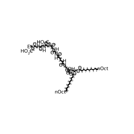 CCCCCCCC/C=C/CCCCCCCC(=O)OCC(COP(=O)(O)OCCNC(=O)CCCCC(=O)NCC(=O)NCC(=O)N(CC(=O)O)CC(=O)NCC(=O)NCC(=O)N(CC)CC(=O)O)OC(=O)CCCCCCC/C=C/CCCCCCCC